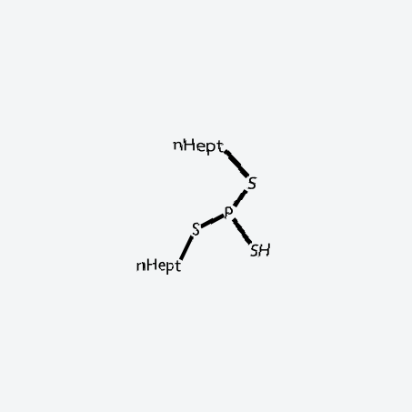 CCCCCCCSP(S)SCCCCCCC